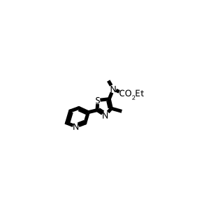 CCOC(=O)N(C)c1sc(-c2cccnc2)nc1C